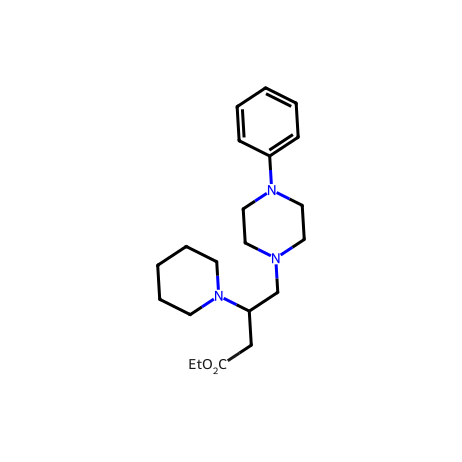 CCOC(=O)CC(CN1CCN(c2ccccc2)CC1)N1CCCCC1